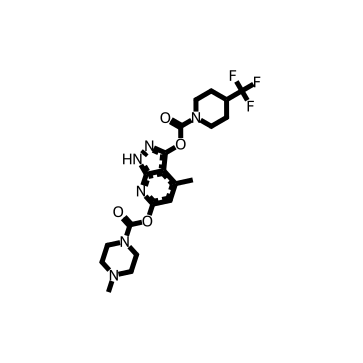 Cc1cc(OC(=O)N2CCN(C)CC2)nc2[nH]nc(OC(=O)N3CCC(C(F)(F)F)CC3)c12